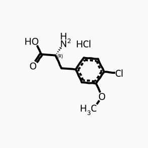 COc1cc(C[C@@H](N)C(=O)O)ccc1Cl.Cl